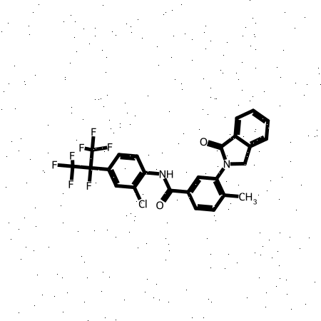 Cc1ccc(C(=O)Nc2ccc(C(F)(C(F)(F)F)C(F)(F)F)cc2Cl)cc1N1Cc2ccccc2C1=O